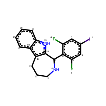 Fc1cc(I)cc(F)c1C1NCCCc2c1[nH]c1ccccc21